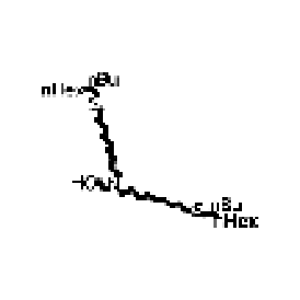 CCCCCCC(CCCC)CSCCCCCCCCCN(CCO)CCCCCCCCCSCC(CCCC)CCCCCC